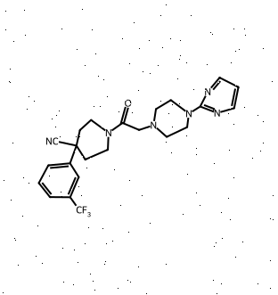 N#CC1(c2cccc(C(F)(F)F)c2)CCN(C(=O)CN2CCN(c3ncccn3)CC2)CC1